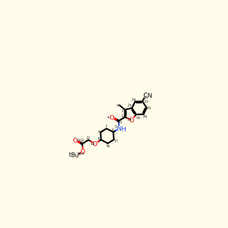 Cc1c(C(=O)NC2CCC(OCC(=O)OC(C)(C)C)CC2)oc2ccc(C#N)cc12